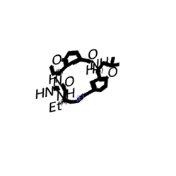 CC[C@]12C/C=C/c3ccc4c(c3)[C@H](CC(C)(C)O4)NC(=O)c3ccc4c(c3)[C@@H](CCO4)N(C(=N)N1)C(=O)C2